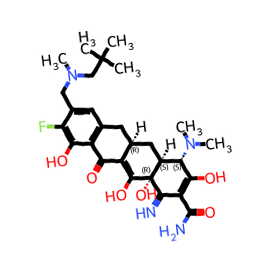 CN(Cc1cc2c(c(O)c1F)C(=O)C1=C(O)[C@]3(O)C(=N)C(C(N)=O)=C(O)[C@@H](N(C)C)[C@@H]3C[C@@H]1C2)CC(C)(C)C